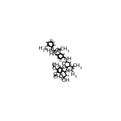 COc1cc(NC(=O)CC(C(=O)NC(CC(=O)O)c2ccc(OC)c(OC)c2)C(C)C)ccc1NC(=O)Nc1ccccc1C